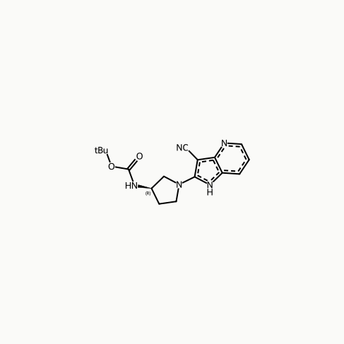 CC(C)(C)OC(=O)N[C@@H]1CCN(c2[nH]c3cccnc3c2C#N)C1